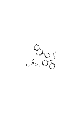 CN(C)CCCOc1ccccc1CC(=O)N1CC2C(=O)CCC(c3ccccc3)(c3ccccc3)C2C1